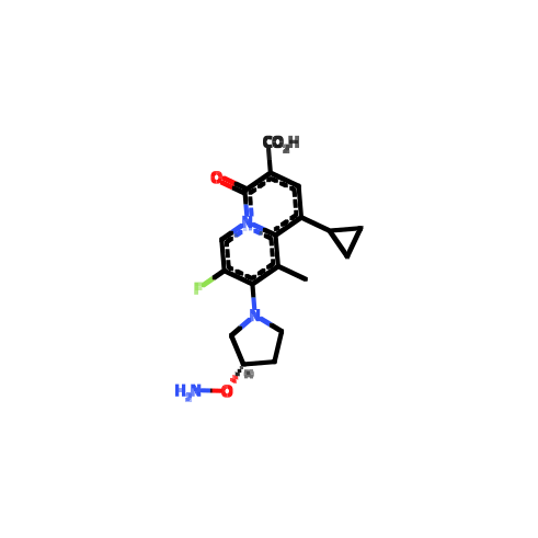 Cc1c(N2CC[C@H](ON)C2)c(F)cn2c(=O)c(C(=O)O)cc(C3CC3)c12